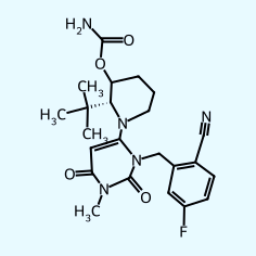 Cn1c(=O)cc(N2CCCC(OC(N)=O)[C@H]2C(C)(C)C)n(Cc2cc(F)ccc2C#N)c1=O